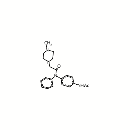 CC(=O)Nc1ccc(N(C(=O)CN2CCN(C)CC2)c2ccccc2)cc1